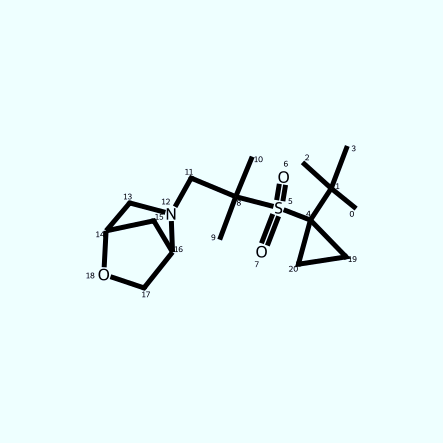 CC(C)(C)C1(S(=O)(=O)C(C)(C)CN2CC3CC2CO3)CC1